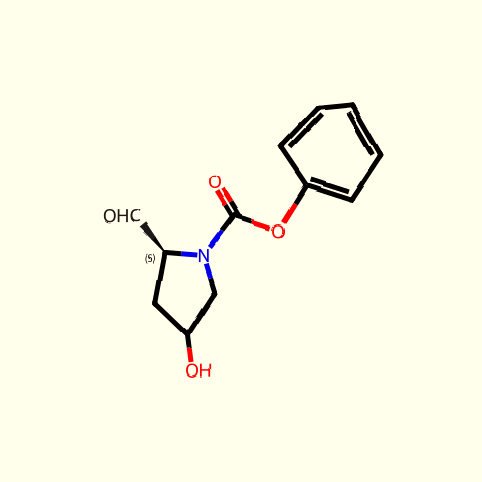 O=C[C@@H]1CC(O)CN1C(=O)Oc1ccccc1